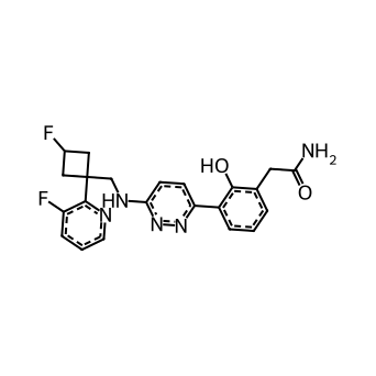 NC(=O)Cc1cccc(-c2ccc(NCC3(c4ncccc4F)CC(F)C3)nn2)c1O